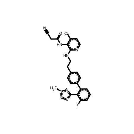 Cn1nnc(-c2c(F)cccc2-c2ccc(CCNc3nccc(Cl)c3NC(=O)CC#N)cc2)n1